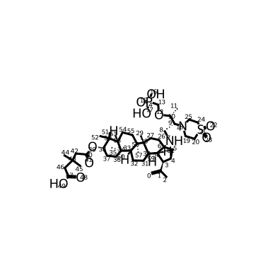 C=C(C)[C@@H]1CC[C@]2(NC[C@H]([C@@H](C)OCP(=O)(O)O)N3CCS(=O)(=O)CC3)CC[C@]3(C)[C@H](CC[C@@H]4[C@@]5(C)CC[C@H](OC(=O)CC(C)(C)CC(=O)O)C(C)(C)[C@@H]5CC[C@]43C)[C@@H]12